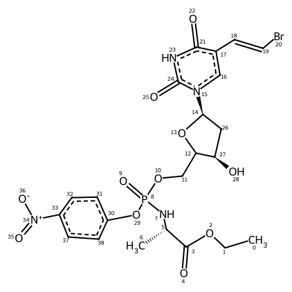 CCOC(=O)[C@H](C)NP(=O)(OCC1O[C@@H](n2cc(/C=C/Br)c(=O)[nH]c2=O)C[C@H]1O)Oc1ccc([N+](=O)[O-])cc1